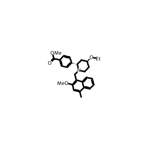 CCO[C@H]1CCN(Cc2c(OC)cc(C)c3ccccc23)[C@H](c2ccc(C(=O)OC)cc2)C1